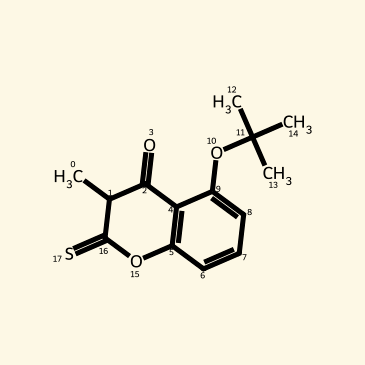 CC1C(=O)c2c(cccc2OC(C)(C)C)OC1=S